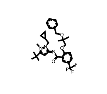 Cn1c(C(C)(C)C)cc(=NC(=O)c2cc(C(F)(F)F)ccc2OCC(C)(C)OCc2ccccc2)n1CC1CC1